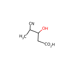 CC(C#N)C(O)CC(=O)O